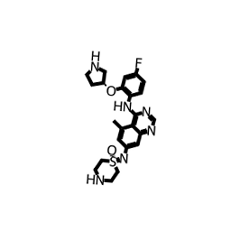 Cc1cc(N=S2(=O)CCNCC2)cc2ncnc(Nc3ccc(F)cc3O[C@@H]3CCNC3)c12